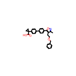 Cc1noc(-c2ccc(-c3ccc(C4(C(=O)O)CC4)cc3)cc2)c1CCOCc1ccccc1